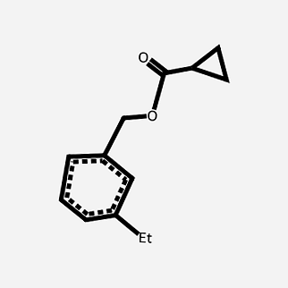 CCc1cccc(COC(=O)C2CC2)c1